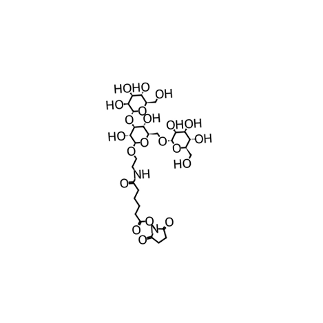 O=C(CCCCC(=O)ON1C(=O)CCC1=O)NCCO[C@@H]1O[C@H](CO[C@H]2O[C@H](CO)[C@@H](O)[C@H](O)[C@@H]2O)[C@@H](O)[C@H](O[C@H]2O[C@H](CO)[C@@H](O)[C@H](O)[C@@H]2O)[C@H]1O